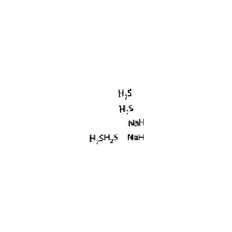 S.S.S.S.[NaH].[NaH]